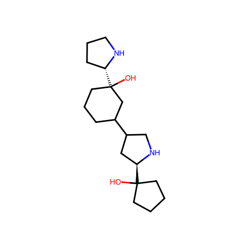 OC1([C@@H]2CCCN2)CCCC(C2CN[C@@H](C3(O)CCCC3)C2)C1